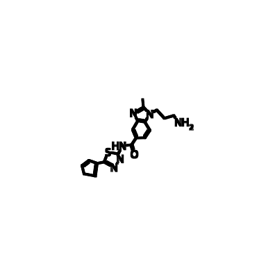 Cc1nc2cc(C(=O)Nc3nnc(C4=CCC=C4)s3)ccc2n1CCCN